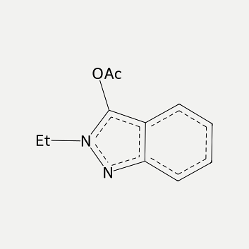 CCn1nc2ccccc2c1OC(C)=O